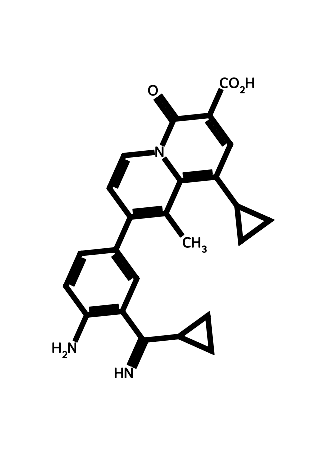 Cc1c(-c2ccc(N)c(C(=N)C3CC3)c2)ccn2c(=O)c(C(=O)O)cc(C3CC3)c12